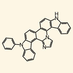 c1ccc(-n2c3ccccc3c3c4c(ccc32)c2ccc3[nH]c5ccccc5c3c2n2ccnc42)cc1